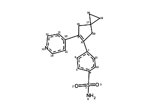 NS(=O)(=O)c1ccc(C2=C(c3ccncc3)CC3(CC3)C2)cc1